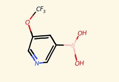 OB(O)c1cncc(OC(F)(F)F)c1